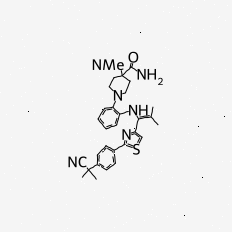 CNC1(C(N)=O)CCN(c2ccccc2NC(=C(C)C)c2csc(-c3ccc(C(C)(C)C#N)cc3)n2)CC1